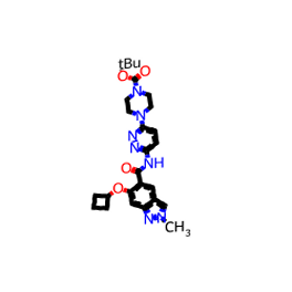 Cn1cc2cc(C(=O)Nc3ccc(N4CCN(C(=O)OC(C)(C)C)CC4)nn3)c(OC3CCC3)cc2n1